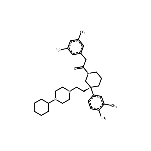 Cc1ccc([C@@]2(CCN3CCN(C4CCCCC4)CC3)CCCN(C(=O)Cc3cc(C(F)(F)F)cc(C(F)(F)F)c3)C2)cc1C